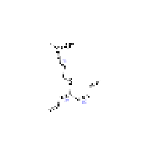 C=C/C=C\C(=C/C=C)SC/C=N/[S+](C)[O-]